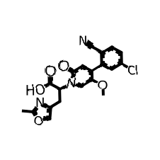 COc1cn(C(Cc2coc(C)n2)C(=O)O)c(=O)cc1-c1cc(Cl)ccc1C#N